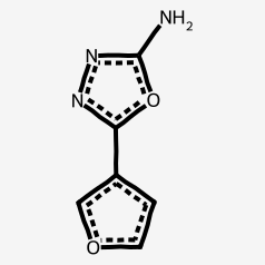 Nc1nnc(-c2ccoc2)o1